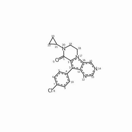 O=C1c2c(-c3ccc(Cl)cc3)c3ncncc3n2CCN1C1CC1